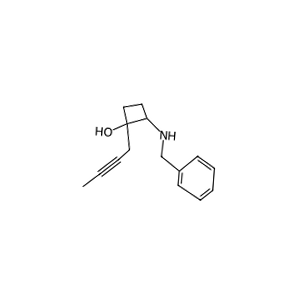 CC#CCC1(O)CCC1NCc1ccccc1